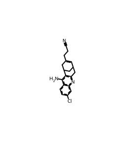 N#CCCC1=CC2Cc3nc4cc(Cl)ccc4c(N)c3C(C1)C2